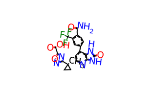 CC1(c2noc(C(=O)O)n2)CC1.NC(=O)c1ccc(-c2ccnc3[nH]c(=O)[nH]c23)cc1C(F)(F)F